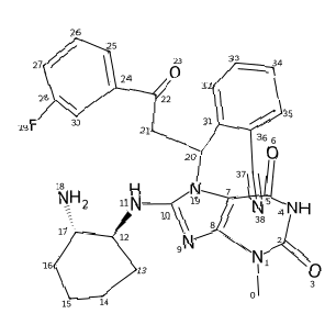 Cn1c(=O)[nH]c(=O)c2c1nc(N[C@H]1CCCC[C@@H]1N)n2C(CC(=O)c1cccc(F)c1)c1ccccc1C#N